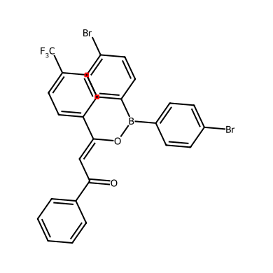 O=C(/C=C(\OB(c1ccc(Br)cc1)c1ccc(Br)cc1)c1ccc(C(F)(F)F)cc1)c1ccccc1